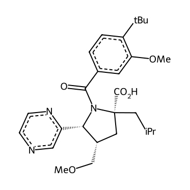 COC[C@H]1C[C@@](CC(C)C)(C(=O)O)N(C(=O)c2ccc(C(C)(C)C)c(OC)c2)[C@H]1c1cnccn1